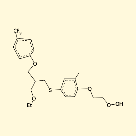 CCOCC(COc1ccc(C(F)(F)F)cc1)CSc1ccc(OCCOO)c(C)c1